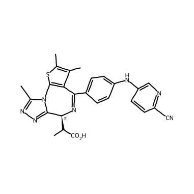 Cc1sc2c(c1C)C(c1ccc(Nc3ccc(C#N)nc3)cc1)=N[C@@H](C(C)C(=O)O)c1nnc(C)n1-2